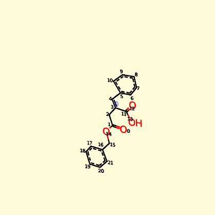 O=C(C/C(=C/c1ccccc1)C(=O)O)OCc1ccccc1